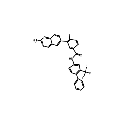 Cc1ccc(C(=O)Nc2ccc(-c3ccccc3)c(C(F)(F)F)c2)cc1-c1ccc2nc(N)ncc2c1